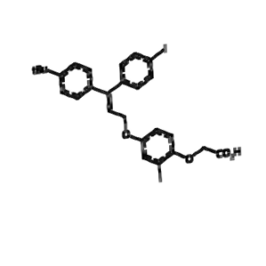 Cc1cc(OC/C=C(\c2ccc(I)cc2)c2ccc(C(C)(C)C)cc2)ccc1OCC(=O)O